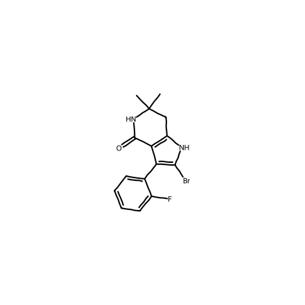 CC1(C)Cc2[nH]c(Br)c(-c3ccccc3F)c2C(=O)N1